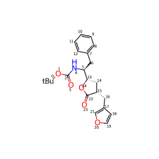 CC(C)(C)OC(=O)N[C@@H](Cc1ccccc1)[C@@H]1C[C@H](Cc2ccoc2)C(=O)O1